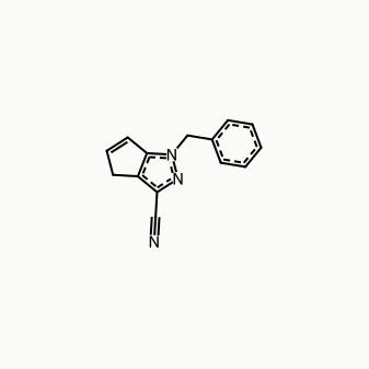 N#Cc1nn(Cc2ccccc2)c2c1CC=C2